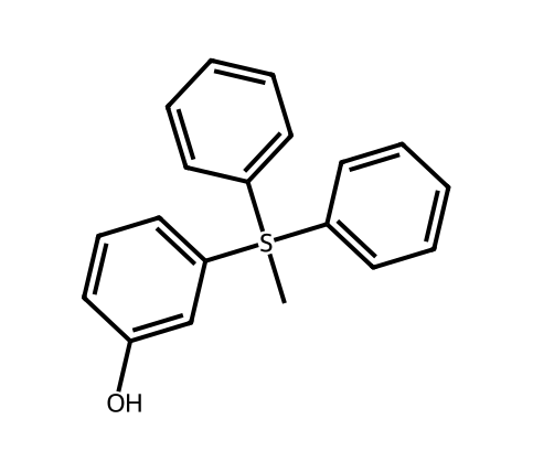 CS(c1ccccc1)(c1ccccc1)c1cccc(O)c1